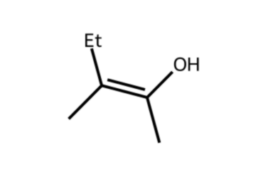 CCC(C)=C(C)O